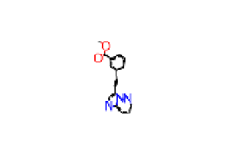 COC(=O)c1cccc(C#Cc2cnc3cccnn23)c1